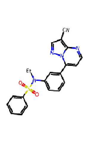 CCN(c1cccc(-c2ccnc3c(C#N)cnn23)c1)S(=O)(=O)c1ccccc1